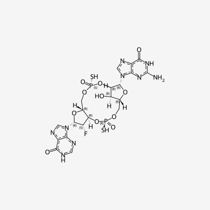 Nc1nc2c(ncn2[C@@H]2O[C@@H]3CO[P@@](=O)(S)O[C@H]4[C@H](F)[C@H](n5cnc6c(=O)[nH]cnc65)O[C@@H]4CO[P@](=O)(S)O[C@@H]2[C@@H]3O)c(=O)[nH]1